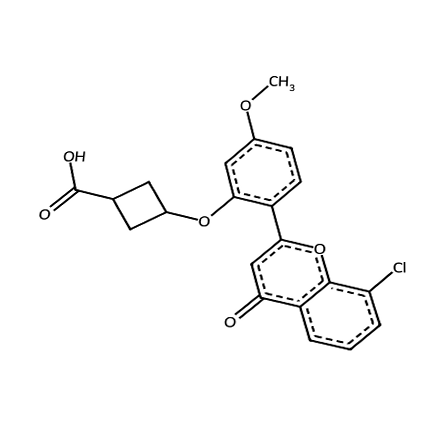 COc1ccc(-c2cc(=O)c3cccc(Cl)c3o2)c(OC2CC(C(=O)O)C2)c1